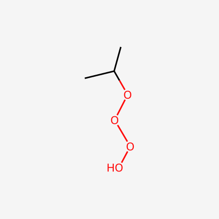 CC(C)OOOO